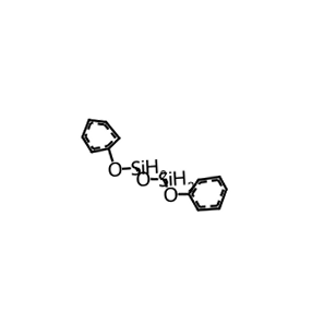 c1ccc(O[SiH2]O[SiH2]Oc2ccccc2)cc1